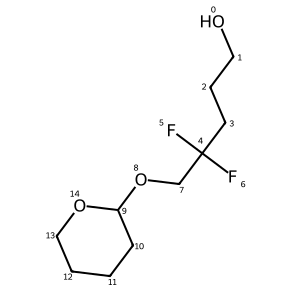 OCCCC(F)(F)COC1CCCCO1